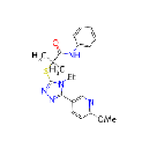 CCn1c(SC(C)(C)C(=O)Nc2ccccc2)nnc1-c1ccc(OC)nc1